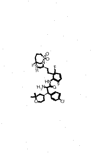 CC1(C)C[C@@H](C(c2ccc(Cl)cc2)C(N)C(=O)Nc2c(F)ccc(F)c2CC[C@H]2CN[C@@H]3CCCS(=O)(=O)N2C3)CCO1